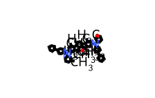 CC1=CC(N(c2ccc(-c3ccccc3)cc2)c2cccc(C)c2)=CC2C1c1ccc3c(c1C2(C)C)C(C)(C)c1cc(N(c2ccc(-c4ccccc4)cc2)c2cccc(C)c2)cc(C)c1-3